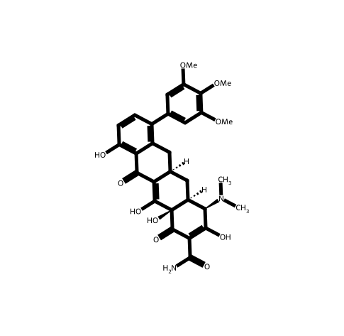 COc1cc(-c2ccc(O)c3c2C[C@H]2C[C@H]4[C@@H](N(C)C)C(O)=C(C(N)=O)C(=O)[C@]4(O)C(O)=C2C3=O)cc(OC)c1OC